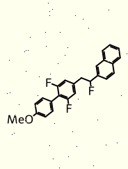 COc1ccc(-c2c(F)cc(CC(F)c3ccc4ccccc4c3)cc2F)cc1